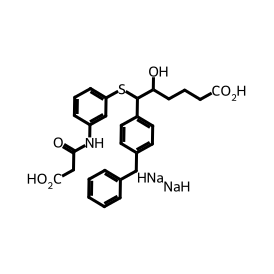 O=C(O)CCCC(O)C(Sc1cccc(NC(=O)CC(=O)O)c1)c1ccc(Cc2ccccc2)cc1.[NaH].[NaH]